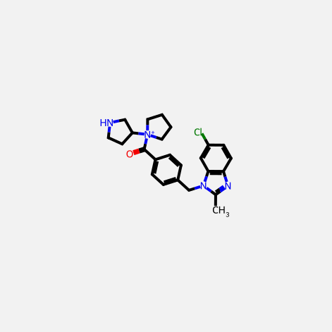 Cc1nc2ccc(Cl)cc2n1Cc1ccc(C(=O)[N+]2(C3CCNC3)CCCC2)cc1